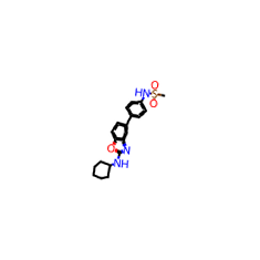 CS(=O)(=O)Nc1ccc(-c2ccc3oc(NC4CCCCC4)nc3c2)cc1